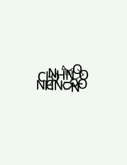 Cn1c(=O)c2c(c3cc(Nc4ccnc(Cl)c4C#N)ccc31)N[C@@H](C1CC1)COC1OC21